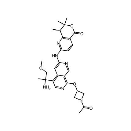 COCC(C)(N)c1cnc(OC2CN(C(C)=O)C2)c2cnc(Nc3ccc4c(n3)[C@@H](C)C(C)(C)OC4=O)cc12